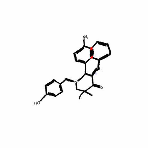 CC1(C)CN(Cc2ccc(O)cc2)C(c2ccc(N)cc2)/C(=C\c2ccccn2)C1=O